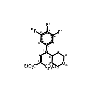 CCOC(=O)C(=CN(c1cc(F)c(F)c(F)c1)C1CCOCC1)C(=O)OCC